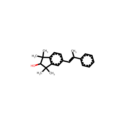 C/C(=C\c1ccc2c(c1)C(C)(C)C(O)C2(C)C)c1ccccc1